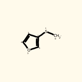 [CH2]Sc1ccoc1